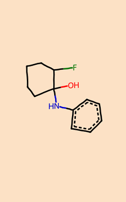 OC1(Nc2ccccc2)CCCCC1F